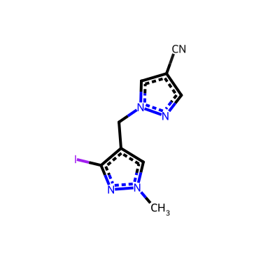 Cn1cc(Cn2cc(C#N)cn2)c(I)n1